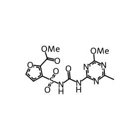 COC(=O)c1occc1S(=O)(=O)NC(=O)Nc1nc(C)nc(OC)n1